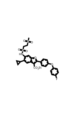 CCOC(=O)c1c(-c2ccc(Oc3ccc(F)cc3)cc2)oc2cc(NS(=O)(=O)CCS(C)(=O)=O)c(C3CC3)cc12